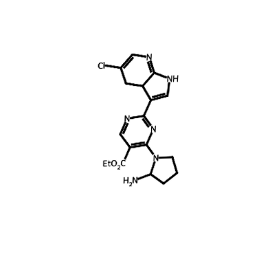 CCOC(=O)c1cnc(C2=CNC3=NC=C(Cl)CC23)nc1N1CCCC1N